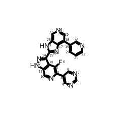 Fc1c(-c2cncnc2)ncc2[nH]nc(-c3nc4c(-c5cccnc5)cncc4[nH]3)c12